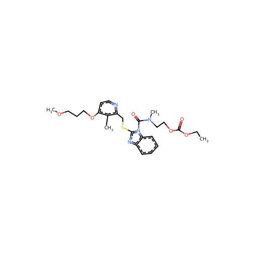 CCOC(=O)OCCN(C)C(=O)n1c(SCc2nccc(OCCCOC)c2C)nc2ccccc21